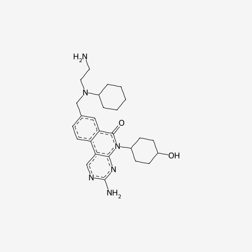 NCCN(Cc1ccc2c(c1)c(=O)n(C1CCC(O)CC1)c1nc(N)ncc21)C1CCCCC1